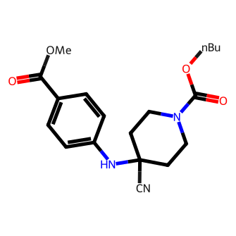 CCCCOC(=O)N1CCC(C#N)(Nc2ccc(C(=O)OC)cc2)CC1